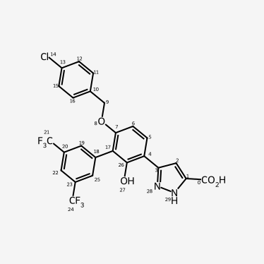 O=C(O)c1cc(-c2ccc(OCc3ccc(Cl)cc3)c(-c3cc(C(F)(F)F)cc(C(F)(F)F)c3)c2O)n[nH]1